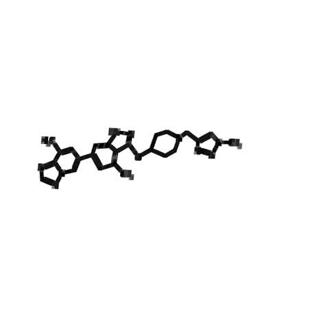 Cc1cc(-c2cc(C)c3ncnn3c2)cc2[nH]nc(OC3CCN(Cc4cn(C)nn4)CC3)c12